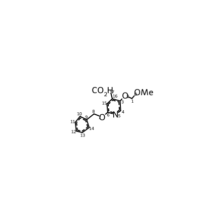 COCOc1cnc(OCc2ccccc2)cc1C(=O)O